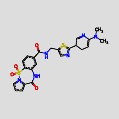 CN(C)C1=CCC(c2ncc(CNC(=O)c3ccc4c(c3)NC(=O)c3cccn3S4(=O)=O)s2)C=N1